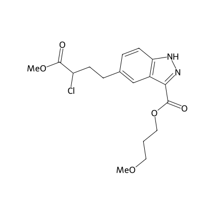 COCCCOC(=O)c1n[nH]c2ccc(CCC(Cl)C(=O)OC)cc12